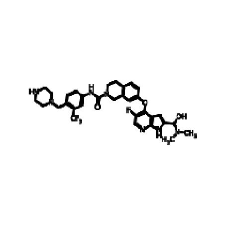 CN(C)C(O)c1cc2c(Oc3ccc4c(c3)CN(C(=O)Nc3ccc(CN5CCNCC5)c(C(F)(F)F)c3)CC4)c(F)cnc2[nH]1